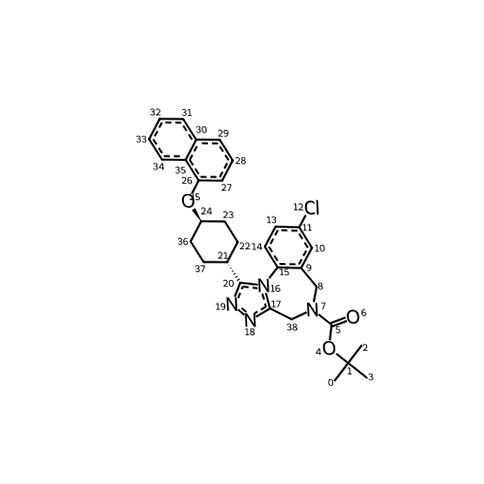 CC(C)(C)OC(=O)N1Cc2cc(Cl)ccc2-n2c(nnc2[C@H]2CC[C@H](Oc3cccc4ccccc34)CC2)C1